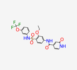 CCOc1cc(NC(=O)c2cc[nH]c(=O)c2)ccc1S(=O)(=O)Nc1cccc(OC(F)(F)F)c1